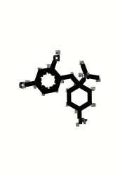 CC(C)C1CCC(Cc2ccc(Cl)cc2Cl)(N(C)C)CC1